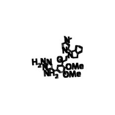 COc1cc(Cc2cnc(N)nc2N)cc(C(=O)/C=C/N2CCc3ccccc3C2c2cc(N(C)C)ccn2)c1OC